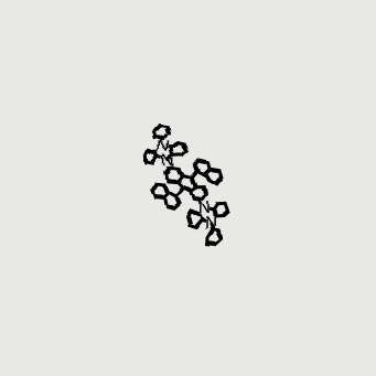 C1=CC2=C(CC1)N(c1ccc3c(-c4cccc5ccccc45)c4cc(N5c6ccccc6N(c6ccccc6)c6ccccc65)ccc4c(-c4cccc5ccccc45)c3c1)c1ccccc1N2c1ccccc1